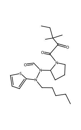 CCCCCN(c1cccs1)N(C=O)C1CCCN1C(=O)C(=O)C(C)(C)CC